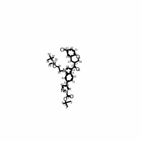 CC(C)(C)OC(=O)n1cc(-c2ccc3c(C(=O)C4COc5ccc(Cl)cc5C4)cn(CCO[Si](C)(C)C(C)(C)C)c3c2)cn1